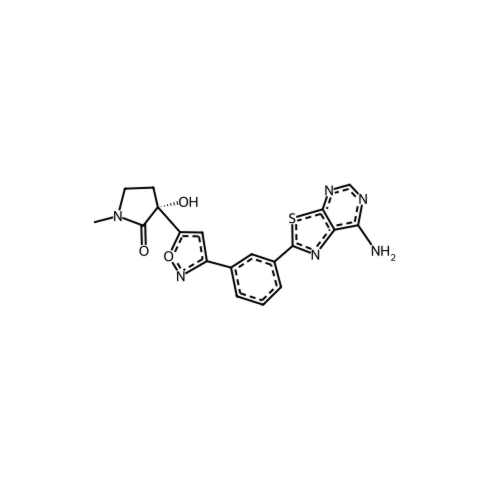 CN1CC[C@@](O)(c2cc(-c3cccc(-c4nc5c(N)ncnc5s4)c3)no2)C1=O